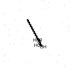 CCCCCCCCCCCCCCCCCCNC(=O)OCC(O)CO